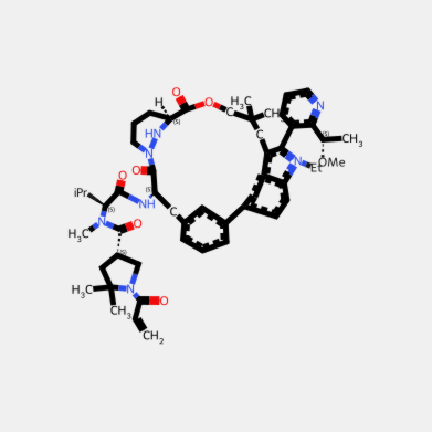 C=CC(=O)N1C[C@@H](C(=O)N(C)[C@H](C(=O)N[C@H]2Cc3cccc(c3)-c3ccc4c(c3)c(c(-c3cccnc3[C@H](C)OC)n4CC)CC(C)(C)COC(=O)[C@@H]3CCCN(N3)C2=O)C(C)C)CC1(C)C